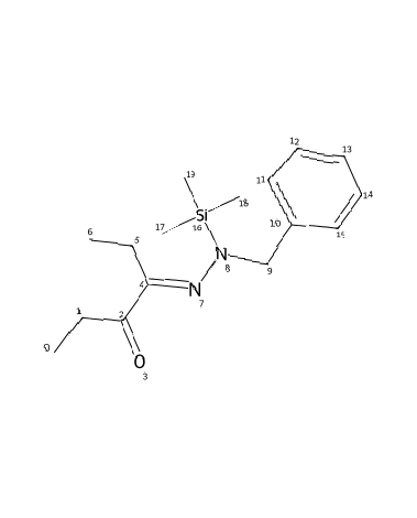 CCC(=O)/C(CC)=N/N(Cc1ccccc1)[Si](C)(C)C